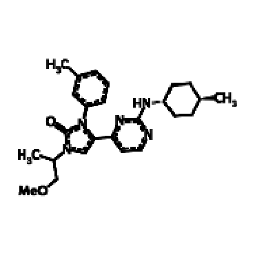 COCC(C)n1cc(-c2ccnc(N[C@H]3CC[C@H](C)CC3)n2)n(-c2cccc(C)c2)c1=O